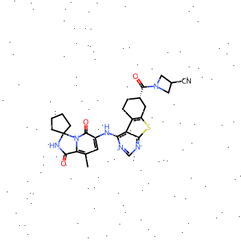 Cc1cc(Nc2ncnc3sc4c(c23)CC[C@H](C(=O)N2CC(C#N)C2)C4)c(=O)n2c1C(=O)NC21CCCC1